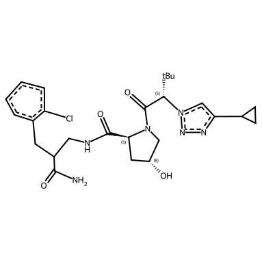 CC(C)(C)[C@@H](C(=O)N1C[C@H](O)C[C@H]1C(=O)NCC(Cc1ccccc1Cl)C(N)=O)n1cc(C2CC2)nn1